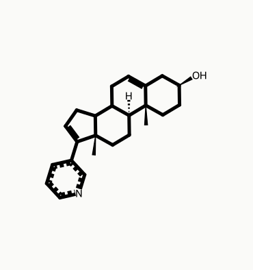 C[C@]12CC[C@H](O)CC1=CCC1C3CC=C(c4cccnc4)[C@@]3(C)CC[C@@H]12